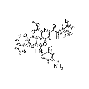 COC(=O)c1nc(C(=O)N[C@@H]2C[C@@H]3CC[C@H]2C3)ccc1-c1cc2c(cc1C(=O)Nc1ccc(CN)cc1C)-c1sccc1CCO2